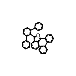 c1ccc(-c2ccccc2-c2oc(-c3c(-c4ccccc4)cccc3-c3ccccc3)c3ccccc23)cc1